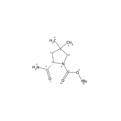 CC1(C)C[C@@H](C(N)=O)N(C(=O)OC(C)(C)C)C1